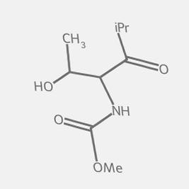 COC(=O)NC(C(=O)C(C)C)C(C)O